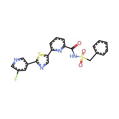 O=C(NS(=O)(=O)Cc1ccccc1)c1cccc(-c2cnc(-c3cncc(F)c3)s2)n1